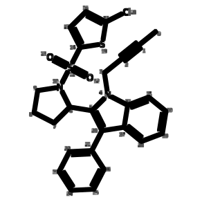 CC#CCn1c(C2CCCN2S(=O)(=O)c2ccc(Cl)s2)c(-c2ccccc2)c2ccccc21